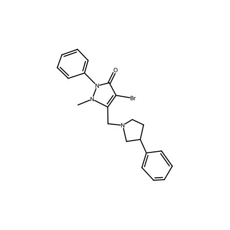 Cn1c(CN2CCC(c3ccccc3)C2)c(Br)c(=O)n1-c1ccccc1